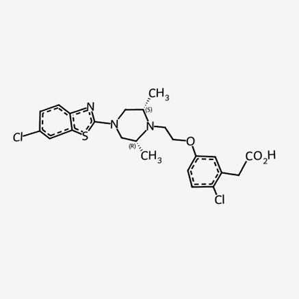 C[C@@H]1CN(c2nc3ccc(Cl)cc3s2)C[C@H](C)N1CCOc1ccc(Cl)c(CC(=O)O)c1